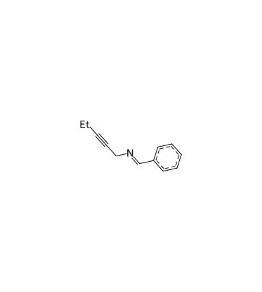 CCC#CC/N=C/c1ccccc1